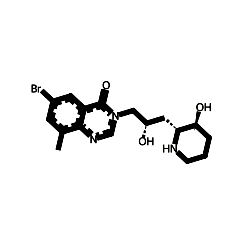 Cc1cc(Br)cc2c(=O)n(C[C@@H](O)C[C@H]3NCCC[C@@H]3O)cnc12